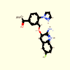 COC(=O)c1ccc(-n2cccn2)c(COc2cc3cc(F)ccc3nc2N)c1